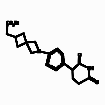 CCOC(=O)CC1CC2(C1)CN(c1ccc(C3CCC(=O)NC3=O)cc1)C2